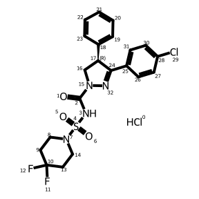 Cl.O=C(NS(=O)(=O)N1CCC(F)(F)CC1)N1C[C@@H](c2ccccc2)C(c2ccc(Cl)cc2)=N1